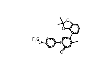 Cc1cc(=O)n(-c2ccc(OC(F)(F)F)cc2)cc1-c1cccc2c1OC(C)(C)O2